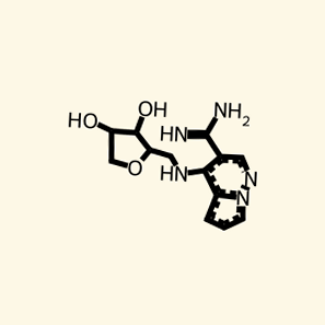 N=C(N)c1cnn2cccc2c1NCC1OCC(O)C1O